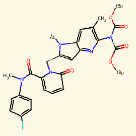 CC(=O)n1c(Cn2c(C(=O)N(C)c3ccc(F)cc3)cccc2=O)cc2nc(N(C(=O)OC(C)(C)C)C(=O)OC(C)(C)C)c(C)cc21